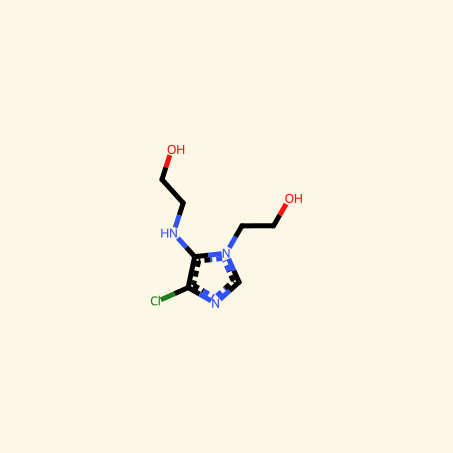 OCCNc1c(Cl)ncn1CCO